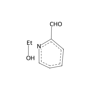 CCO.O=Cc1ccccn1